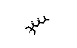 CCC(F)(CC)C(=O)CC(=O)CC(C)C